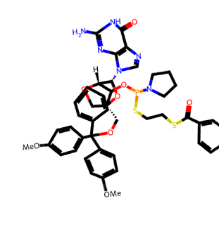 COc1ccc(C(OC[C@]23CO[C@@H](C2OP(SCCSC(=O)c2ccccc2)N2CCCC2)[C@H](n2cnc4c(=O)[nH]c(N)nc42)O3)(c2ccccc2)c2ccc(OC)cc2)cc1